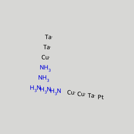 N.N.N.N.N.[Cu].[Cu].[Cu].[Pt].[Ta].[Ta].[Ta]